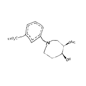 CCOC(=O)c1cccc(N2CC[C@H](O)[C@H](OC(C)=O)C2)c1